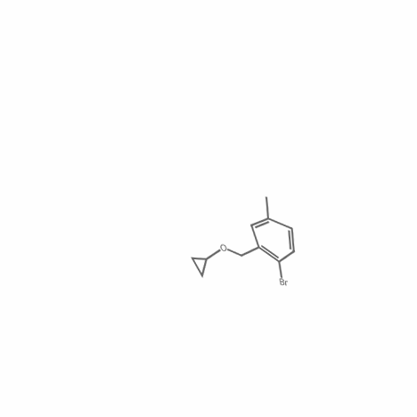 Cc1ccc(Br)c(COC2CC2)c1